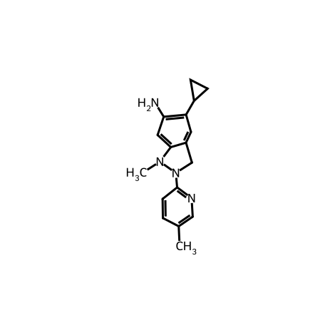 Cc1ccc(N2Cc3cc(C4CC4)c(N)cc3N2C)nc1